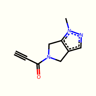 C#CC(=O)N1Cc2cnn(C)c2C1